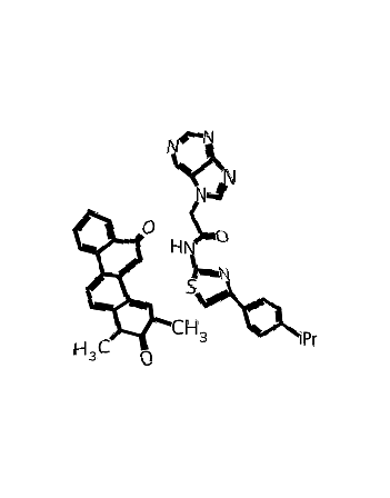 CC(C)c1ccc(-c2csc(NC(=O)Cn3cnc4ncncc43)n2)cc1.CC1C=c2c(ccc3c2=CC(=O)c2ccccc2-3)C(C)C1=O